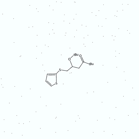 CC(C)(C)OC(CSc1cccs1)CC(=O)C(C)(C)C